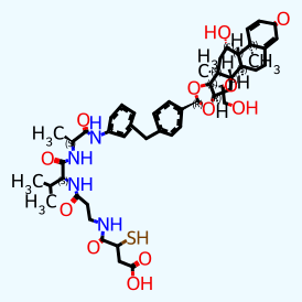 CC(C)[C@H](NC(=O)CCNC(=O)C(S)CC(=O)O)C(=O)N[C@@H](C)C(=O)Nc1cccc(Cc2ccc([C@@H]3O[C@@H]4C[C@H]5[C@@H]6CCC7=CC(=O)C=C[C@]7(C)[C@H]6[C@@H](O)C[C@]5(C)[C@]4(C(=O)CO)O3)cc2)c1